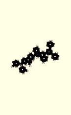 Cc1cccc(N(c2cccc(C)c2)c2ccc3c(c2)C(C)(C)c2cc(-c4cc5c6ccccc6c(-c6cc(-c7ccccc7)cc(-c7ccccc7)c6)cc5c5ccccc45)ccc2-3)c1